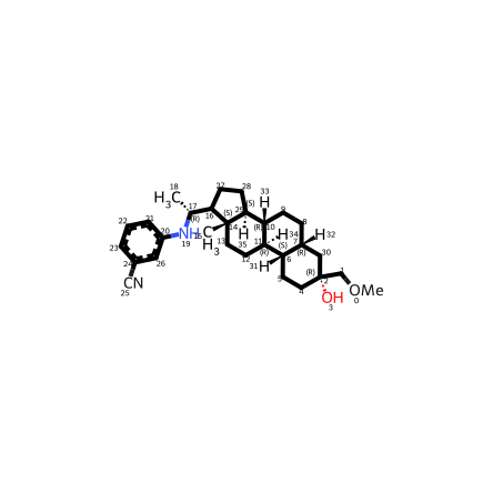 COC[C@@]1(O)CC[C@H]2[C@H](CC[C@@H]3[C@@H]2CC[C@]2(C)C([C@@H](C)Nc4cccc(C#N)c4)CC[C@@H]32)C1